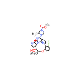 COC1COc2cccc(F)c2-c2nc3c(cc2F)c(N2CCN(C(=O)OC(C)(C)C)C[C@@H]2C)nc(=O)n3-c2c(ccnc2C(C)C)C1O